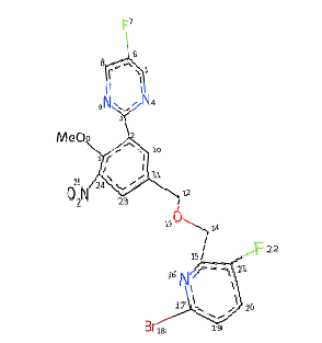 COc1c(-c2ncc(F)cn2)cc(COCc2nc(Br)ccc2F)cc1[N+](=O)[O-]